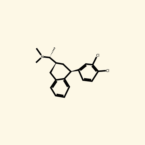 C[C@H]([C@@H]1Cc2ccccc2[C@H](c2ccc(Cl)c(Cl)c2)C1)N(C)C